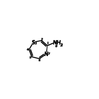 NC1=CSC=CC=N1